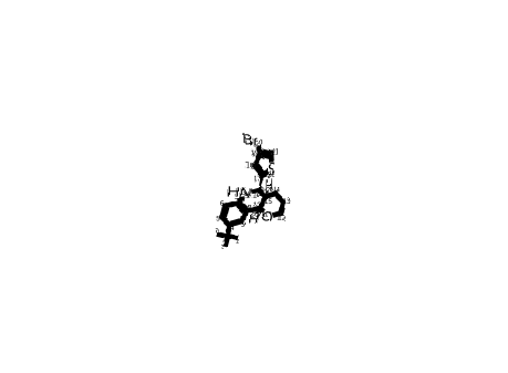 CC(C)(C)c1ccc2c(c1)[C@H]1OCCC[C@H]1[C@H](c1cc(Br)cs1)N2